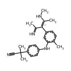 CN/C(C)=C(\C(C)=N)c1ccc(C)c(Nc2ccc(C(C)(C)C#N)cc2)c1